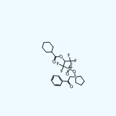 O=C(CS1(OS(=O)(=O)C(F)(F)C(OC(=O)C2CCCCC2)C(F)(F)F)CCCC1)c1ccccc1